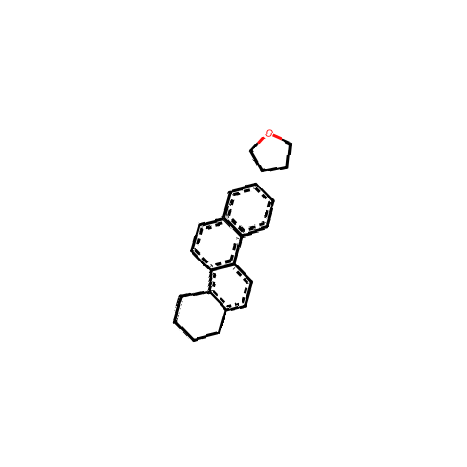 C1CCOC1.c1ccc2c(c1)ccc1c3c(ccc12)CCCC3